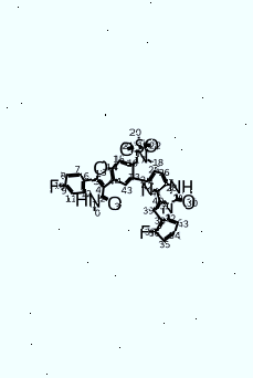 CNC(=O)c1c(-c2ccc(F)cc2)oc2cc(N(C)S(C)(=O)=O)c(-c3ccc4[nH]c(=O)n5c6cccc(F)c6cc5c4n3)cc12